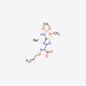 C=CCO/N=C(\C(=O)[O-])c1nsc(NP(=O)(OC)OC)n1.[Na+]